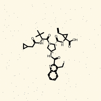 C=CC1CC1(NC(=O)[C@@H]1C[C@@H](NC(=O)c2sc3ccccc3c2CI)CN1C(=O)[C@@H](NC(=O)CC1CC1)C(C)(C)C)C(=O)O